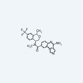 CC1OC[C@@H](N(C)C(=O)c2ccc3nc(N)c4cncn4c3c2)c2ccc(C(F)(F)F)cc21